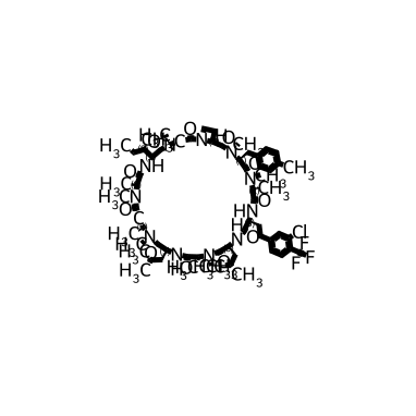 CC[C@H](C)[C@@H]1NC(=O)[C@H](C)N(C)C(=O)C[C@@H](C)N(C)C(=O)[C@H](CC(C)C)NC(=O)C(C)(C)N(C)C(=O)[C@H](CC(C)C)NC(=O)[C@H](CCc2ccc(C(F)(F)F)c(Cl)c2)NC(=O)[C@@H](C)N(C)C(=O)[C@H](Cc2ccc(C)cc2)N(C)C(=O)[C@@H]2CCN2C(=O)CN(C)C1=O